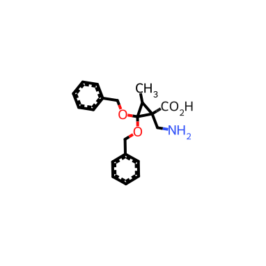 CC1C(OCc2ccccc2)(OCc2ccccc2)C1(CN)C(=O)O